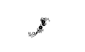 CCN(CC)CCNC(=S)Nc1ccc(Oc2ccnc3cc(OC)c(OC)cc23)cc1